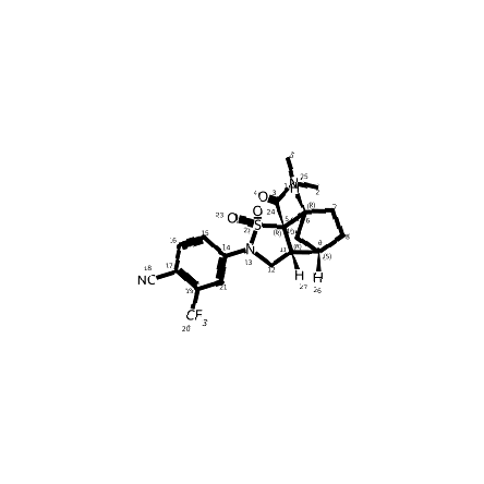 CN(C)C(=O)[C@@]12[C@@H]3CC[C@@H](C3)[C@@H]1CN(c1ccc(C#N)c(C(F)(F)F)c1)S2(=O)=O